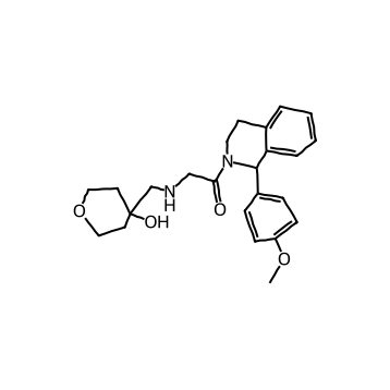 COc1ccc(C2c3ccccc3CCN2C(=O)CNCC2(O)CCOCC2)cc1